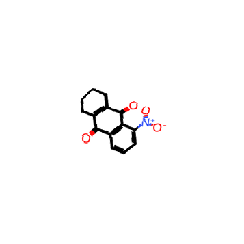 O=C1C2=C(CCCC2)C(=O)c2c1cccc2[N+](=O)[O-]